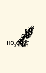 C[C@]12C[C@@H](F)[C@@]3(F)[C@@H](CCC4=CC(=O)CC[C@@]43C)[C@@H]1CC[C@@H]2C(=O)COC1O[C@H](C(=O)O)[C@@H](O)[C@H](O)[C@H]1O